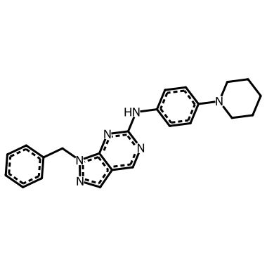 c1ccc(Cn2ncc3cnc(Nc4ccc(N5CCCCC5)cc4)nc32)cc1